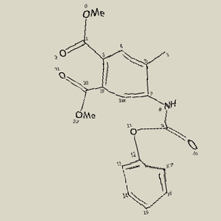 COC(=O)c1cc(C)c(NC(=O)Oc2ccccc2)cc1C(=O)OC